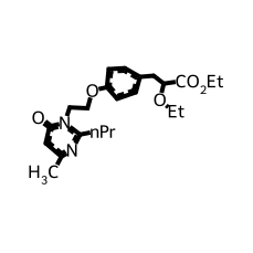 CCCc1nc(C)cc(=O)n1CCOc1ccc(CC(OCC)C(=O)OCC)cc1